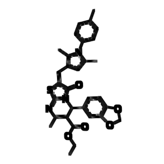 CCOC(=O)C1=C(C)N=c2s/c(=C/c3cc(C)n(-c4ccc(C)cc4)c3C)c(=O)n2C1c1ccc2c(c1)OCO2